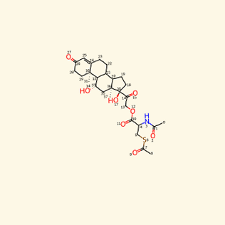 CC(=O)NC(CSC(C)=O)C(=O)OCC(=O)[C@@]1(O)CCC2C3CCC4=CC(=O)CC[C@]4(C)C3[C@@H](O)C[C@@]21C